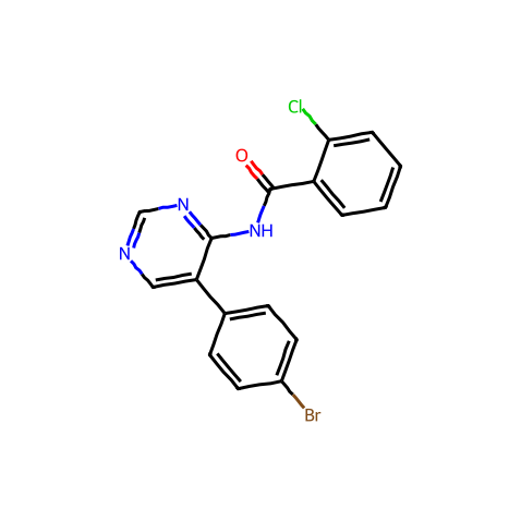 O=C(Nc1ncncc1-c1ccc(Br)cc1)c1ccccc1Cl